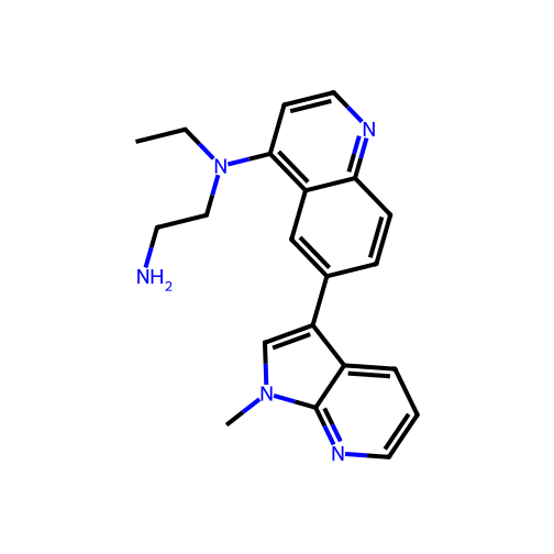 CCN(CCN)c1ccnc2ccc(-c3cn(C)c4ncccc34)cc12